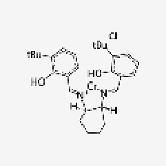 CC(C)(C)c1cccc(C=[N+]2[Cr][N+](=Cc3cccc(C(C)(C)C)c3O)[C@@H]3CCCC[C@H]32)c1O.[Cl-]